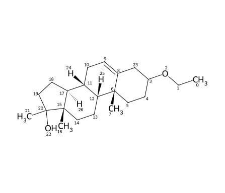 CCOC1CC[C@@]2(C)C(=CC[C@@H]3[C@H]2CC[C@@]2(C)[C@H]3CCC2(C)O)C1